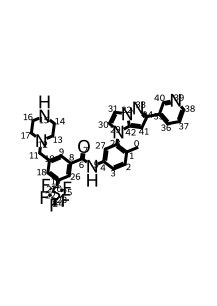 Cc1ccc(NC(=O)c2cc(CN3CCNCC3)cc(S(F)(F)(F)(F)F)c2)cc1-n1ccn2nc(-c3cccnc3)cc12